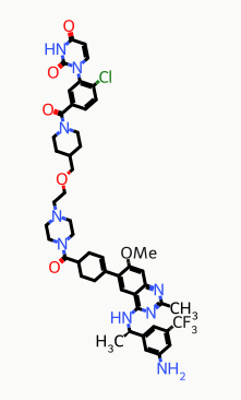 COc1cc2nc(C)nc(N[C@H](C)c3cc(N)cc(C(F)(F)F)c3)c2cc1C1=CCC(C(=O)N2CCN(CCOCC3CCN(C(=O)c4ccc(Cl)c(-n5ccc(=O)[nH]c5=O)c4)CC3)CC2)CC1